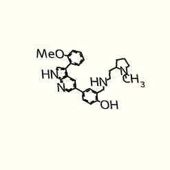 COc1ccccc1-c1c[nH]c2ncc(-c3ccc(O)c(CNCCC4CCCN4C)c3)cc12